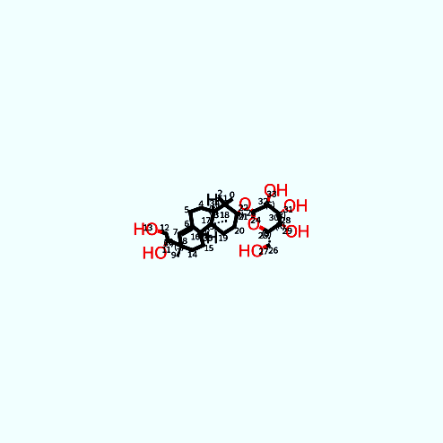 CC1(C)[C@H]2CCC3=C[C@@](C)([C@@H](O)CO)CC[C@H]3[C@]2(C)CC[C@H]1OC1O[C@@H](CO)[C@H](O)[C@@H](O)[C@@H]1O